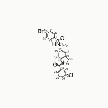 CC(NC(=O)c1ccc(Br)cc1)c1ccc2c(c1)CCN2C(=O)c1cccc(Cl)c1